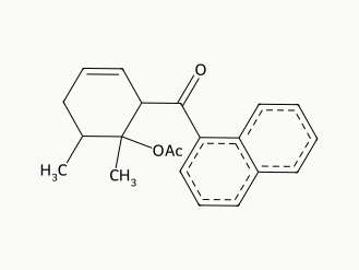 CC(=O)OC1(C)C(C)CC=CC1C(=O)c1cccc2ccccc12